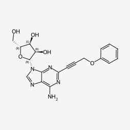 Nc1nc(C#CCOc2ccccc2)nc2c1ncn2[C@@H]1O[C@H](CO)[C@@H](O)[C@H]1O